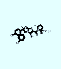 CC(C)C1=C(C(=O)N2[C@H](C)CC[C@]2(C(=O)O)C(C)(C)C)SC2=N[C@@](C)(c3ccc(Cl)cc3)[C@@H](c3ccc(Cl)cc3)N21